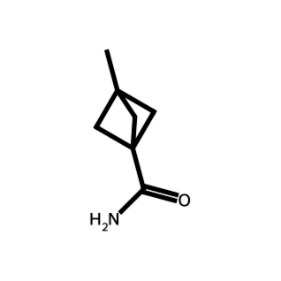 CC12CC(C(N)=O)(C1)C2